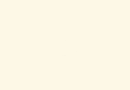 Cc1cc(C)c2c(c1)Sc1cc(C)cc(C)c1OP(Cl)O2